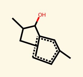 Cc1ccc2c(c1)C(O)C(C)C2